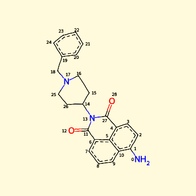 Nc1ccc2c3c(cccc13)C(=O)N(C1CCN(Cc3ccccc3)CC1)C2=O